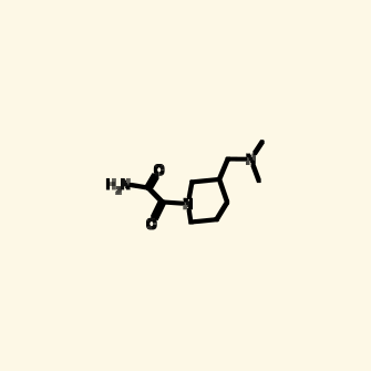 CN(C)CC1CCCN(C(=O)C(N)=O)C1